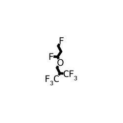 FCCC(F)OCC(C(F)(F)F)C(F)(F)F